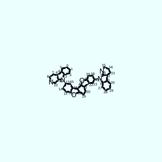 c1ccc2c(c1)c1ccncc1n2-c1ccc2oc3ccc4c5cc(-n6c7ccccc7c7cccnc76)ccc5oc4c3c2c1